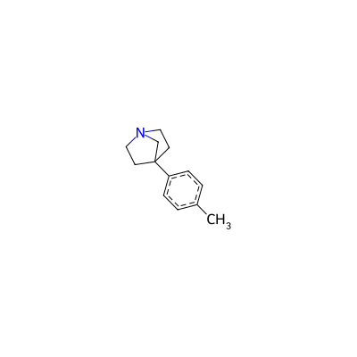 Cc1ccc(C23CCN(CC2)C3)cc1